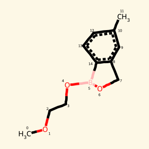 COCCOB1OCc2cc(C)ccc21